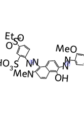 CCS(=O)(=O)c1ccc(/N=N/c2c(NC)ccc3c(O)c(/N=N/c4ccccc4OC)ccc23)c(S(=O)(=O)O)c1